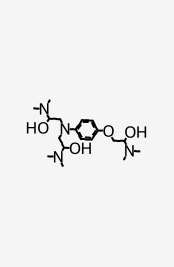 CN(C)C(O)COc1ccc(N(CC(O)N(C)C)CC(O)N(C)C)cc1